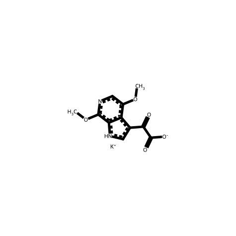 COc1ncc(OC)c2c(C(=O)C(=O)[O-])c[nH]c12.[K+]